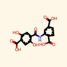 O=C(O)c1ccc(C(=O)O)c(NC(=O)c2cc(O)c(C(=O)O)cc2O)c1